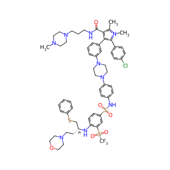 Cc1c(C(=O)NCCCN2CCN(C)CC2)c(-c2cccc(N3CCN(c4ccc(NS(=O)(=O)c5ccc(N[C@H](CCN6CCOCC6)CSc6ccccc6)c(S(=O)(=O)C(F)(F)F)c5)cc4)CC3)c2)c(-c2ccc(Cl)cc2)n1C